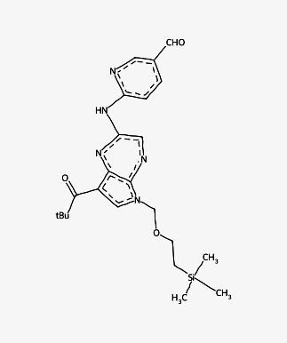 CC(C)(C)C(=O)c1cn(COCC[Si](C)(C)C)c2ncc(Nc3ccc(C=O)cn3)nc12